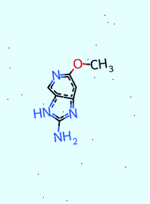 COc1cc2nc(N)[nH]c2cn1